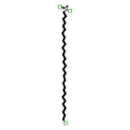 C[Si](Cl)(Cl)CCCCCCCCCCCCCCCCCCCCCCCCCCCCCCCCl